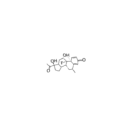 CC(=O)[C@@]1(O)CCC2C3C[C@H](C)C4=CC(=O)C=C[C@]4(C)C3(F)[C@@H](O)C[C@@]21C